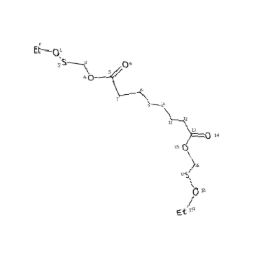 CCOSCOC(=O)CCCCCCC(=O)OCSOCC